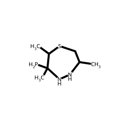 CC1CSC(C)C(C)(P)NN1